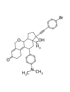 CN(C)c1ccc(C2CC3(C)C(CCC3(O)C#Cc3ccc(Br)cc3)C3OCC4=CC(=O)CCC4=C23)cc1